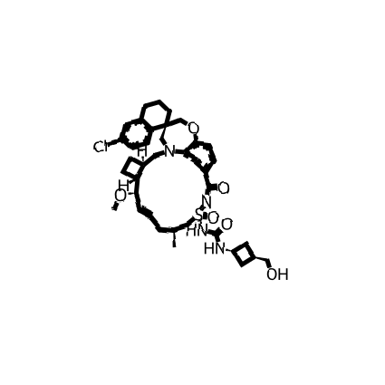 CO[C@H]1/C=C/C[C@H](C)C[S@@](=O)(NC(=O)N[C@H]2C[C@H](CO)C2)=NC(=O)c2ccc3c(c2)N(C[C@@H]2CC[C@H]21)C[C@@]1(CCCc2cc(Cl)ccc21)CO3